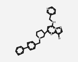 Brc1cnn2c(NCc3cccnc3)cc(C3CCCN(Cc4ccc(-c5ccccc5)cc4)C3)nc12